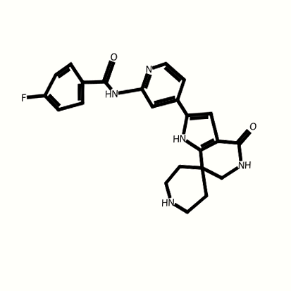 O=C(Nc1cc(-c2cc3c([nH]2)C2(CCNCC2)CNC3=O)ccn1)c1ccc(F)cc1